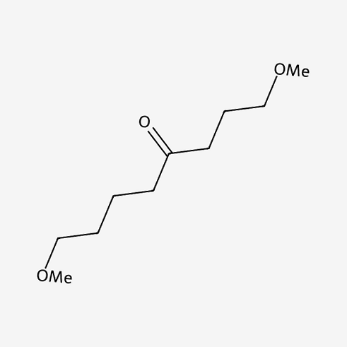 COCCCCC(=O)CCCOC